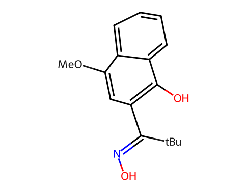 COc1cc(/C(=N/O)C(C)(C)C)c(O)c2ccccc12